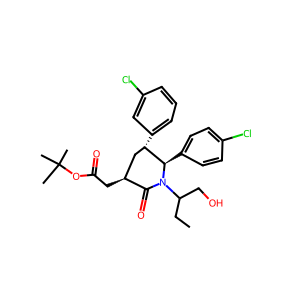 CCC(CO)N1C(=O)[C@@H](CC(=O)OC(C)(C)C)C[C@H](c2cccc(Cl)c2)[C@H]1c1ccc(Cl)cc1